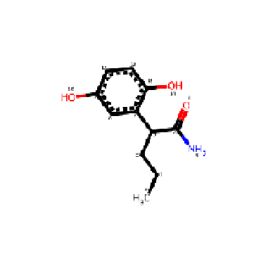 CCCC(C(N)=O)c1cc(O)ccc1O